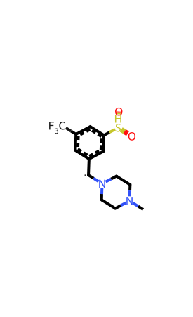 CN1CCN([CH]c2cc([SH](=O)=O)cc(C(F)(F)F)c2)CC1